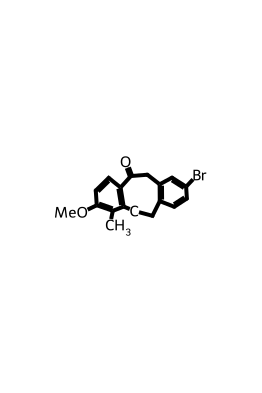 COc1ccc2c(c1C)CCc1ccc(Br)cc1CC2=O